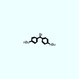 CCCCc1ccc(C(Br)c2ccc(CCCC)cc2)cc1